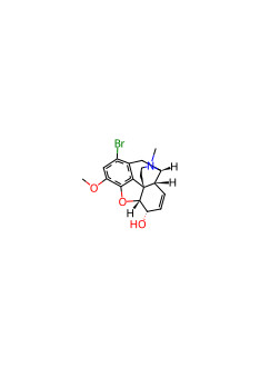 COc1cc(Br)c2c3c1O[C@H]1[C@@H](O)C=C[C@H]4[C@@H](C2)N(C)CC[C@@]341